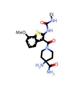 CCNC(=O)Nc1sc2c(OC)cccc2c1C(=O)N1CCC(N)(C(N)=O)CC1